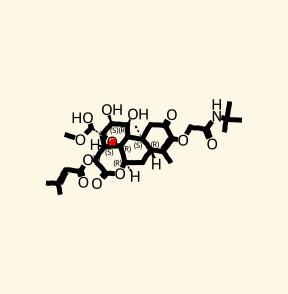 COC(O)[C@@]12OC[C@]34C([C@@H](O)[C@@H]1O)[C@@]1(C)CC(=O)C(OCC(=O)NC(C)(C)C)=C(C)[C@@H]1C[C@H]3OC(=O)[C@H](OC(=O)C=C(C)C)[C@H]42